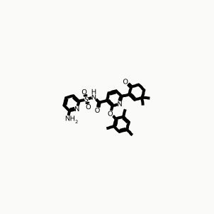 Cc1cc(C)c(Oc2nc(C3=CC(C)(C)CCC3=O)ccc2C(=O)NS(=O)(=O)c2cccc(N)n2)c(C)c1